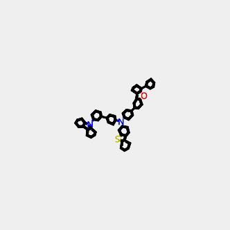 c1ccc(-c2cccc3c2oc2ccc(-c4ccc(N(c5ccc(-c6cccc(-n7c8ccccc8c8ccccc87)c6)cc5)c5ccc6c(c5)sc5ccccc56)cc4)cc23)cc1